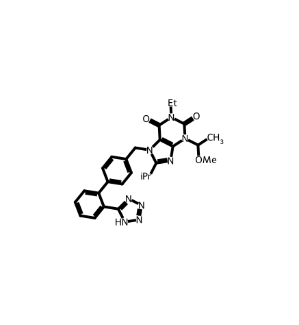 CCn1c(=O)c2c(nc(C(C)C)n2Cc2ccc(-c3ccccc3-c3nnn[nH]3)cc2)n(C(C)OC)c1=O